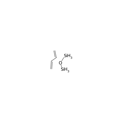 C=CC=C.[SiH3]O[SiH3]